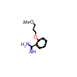 COCCCOc1ccccc1C(=N)N